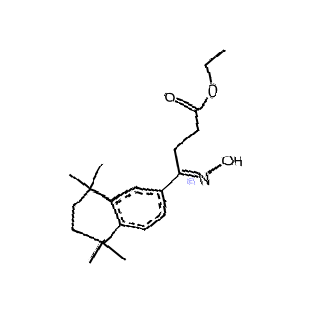 CCOC(=O)CC/C(=N\O)c1ccc2c(c1)C(C)(C)CCC2(C)C